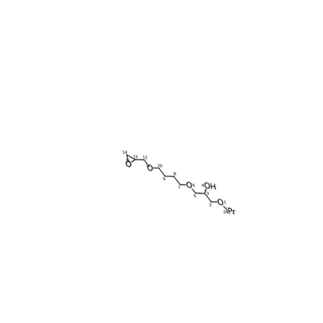 CC(C)OCC(O)COCCCCOCC1CO1